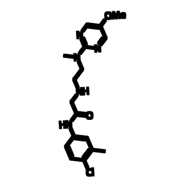 COc1cnc(N(C)CCNCC(=O)Nc2ccc(Cl)c(C)c2)nc1